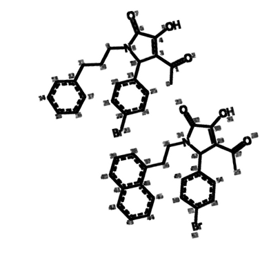 CC(=O)C1=C(O)C(=O)N(CCCc2ccccc2)C1c1ccc(Br)cc1.CC(=O)C1=C(O)C(=O)N(CCc2cccc3ccccc23)C1c1ccc(Br)cc1